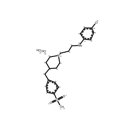 CS(=O)(=O)c1ccc(CC2CCN(CCCNc3ccc(Cl)cc3)CC2)cc1.Cl.Cl